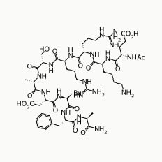 CC[C@H](C)[C@H](NC(=O)[C@H](CC(=O)O)NC(=O)[C@H](C)NC(=O)[C@H](CO)NC(=O)[C@H](CCCNC(=N)N)NC(=O)[C@H](CCCNC(=N)N)NC(=O)[C@H](CCCCN)NC(=O)[C@H](CCC(=O)O)NC(C)=O)C(=O)N[C@@H](Cc1ccccc1)C(=O)N[C@@H](C)C(N)=O